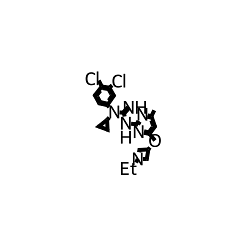 CCN1CC(Oc2cc(C)nc(NC(=N)N(c3ccc(Cl)c(Cl)c3)C3CC3)n2)C1